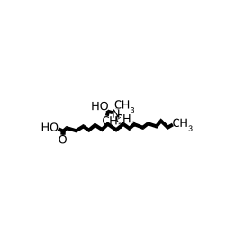 CC(O)N(C)C.CCCCCCCCCCCCCCCCCC(=O)O